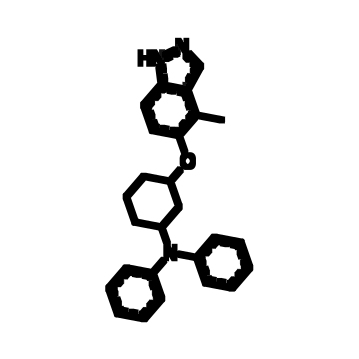 Cc1c(OC2CCCC(N(c3ccccc3)c3ccccc3)C2)ccc2[nH]ncc12